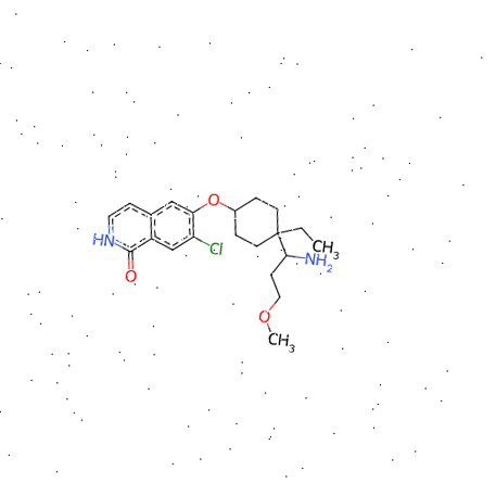 CCC1(C(N)CCOC)CCC(Oc2cc3cc[nH]c(=O)c3cc2Cl)CC1